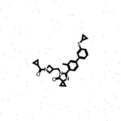 Cc1cc(-c2cccc(SC3CC3)c2)ccc1C1=NC2(CC2)C(=O)N1CC1CN(C(=O)C2CC2)C1